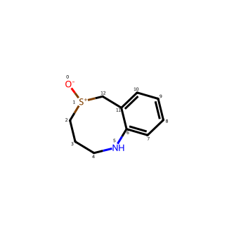 [O-][S+]1CCCNc2ccccc2C1